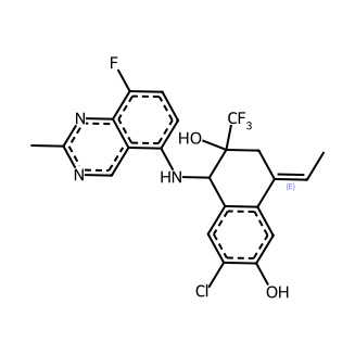 C/C=C1\CC(O)(C(F)(F)F)C(Nc2ccc(F)c3nc(C)ncc23)c2cc(Cl)c(O)cc21